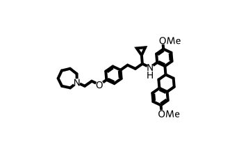 COc1ccc2c(c1)CCC(c1ccc(OC)cc1NC(CCc1ccc(OCCN3CCCCCC3)cc1)C1CC1)C2